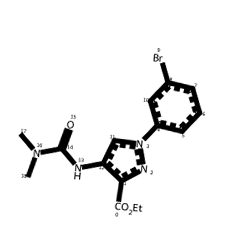 CCOC(=O)c1nn(-c2cccc(Br)c2)cc1NC(=O)N(C)C